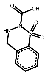 O=C(O)N1NCc2ccccc2S1(=O)=O